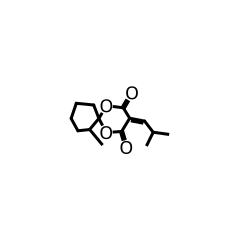 CC(C)C=C1C(=O)OC2(CCCCC2C)OC1=O